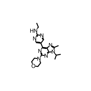 CCNc1ncc(-c2nc(N3CCOCC3)nc3c2nc(C)n3C(C)C)cn1